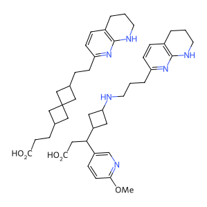 COc1ccc(C(CC(=O)O)C2CC(NCCCc3ccc4c(n3)NCCC4)C2)cn1.O=C(O)CCC1CC2(C1)CC(CCc1ccc3c(n1)NCCC3)C2